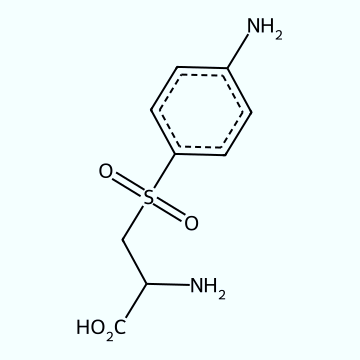 Nc1ccc(S(=O)(=O)CC(N)C(=O)O)cc1